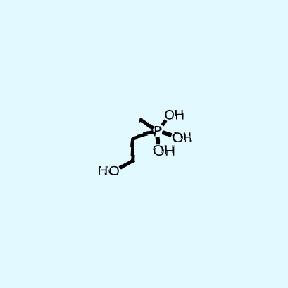 CP(O)(O)(O)CCO